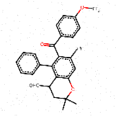 CC(C)c1cc2c(c(-c3ccccc3)c1C(=O)c1ccc(OC(F)(F)F)cc1)C(C=O)CC(C)(C)O2